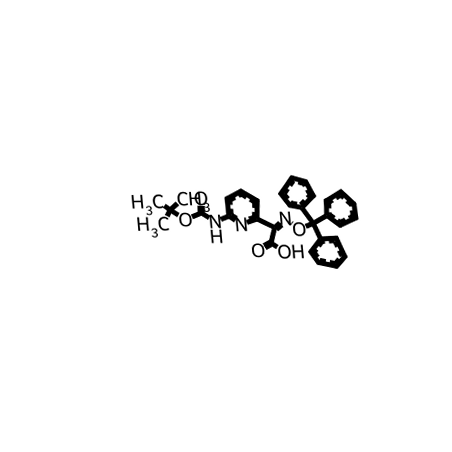 CC(C)(C)OC(=O)Nc1cccc(C(=NOC(c2ccccc2)(c2ccccc2)c2ccccc2)C(=O)O)n1